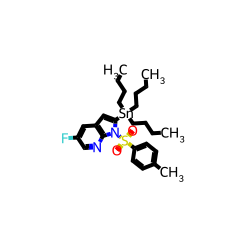 CCC[CH2][Sn]([CH2]CCC)([CH2]CCC)[c]1cc2cc(F)cnc2n1S(=O)(=O)c1ccc(C)cc1